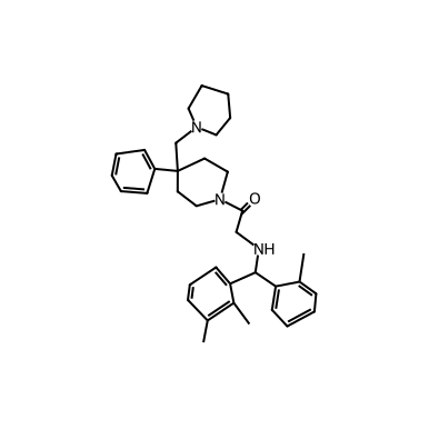 Cc1ccccc1C(NCC(=O)N1CCC(CN2CCCCC2)(c2ccccc2)CC1)c1cccc(C)c1C